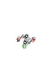 C[Si](C)(C)OCC[Si](C)(C)C1=[C]([Zr+2][C]2=C([Si](C)(C)CCO[Si](C)(C)C)C=CC2)CC=C1.[Cl-].[Cl-]